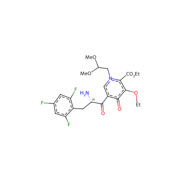 CCOC(=O)c1c(OCC)c(=O)c(C(=O)[C@@H](N)Cc2c(F)cc(F)cc2F)cn1CC(OC)OC